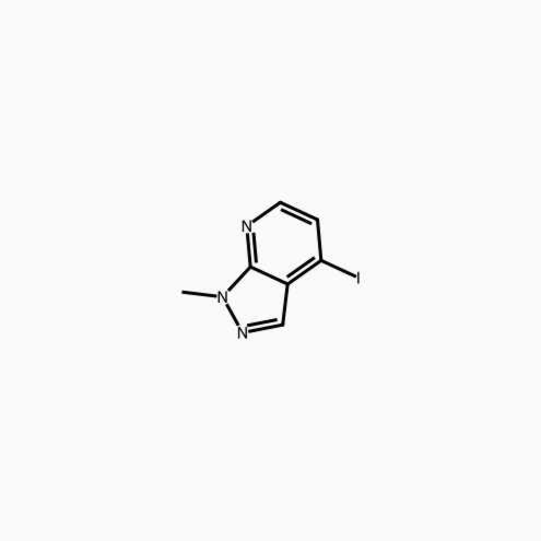 Cn1ncc2c(I)ccnc21